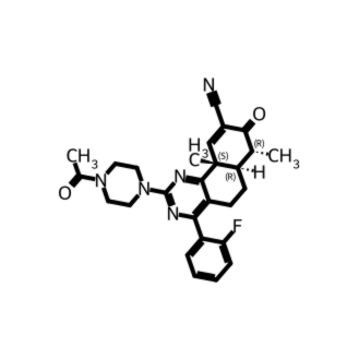 CC(=O)N1CCN(c2nc(-c3ccccc3F)c3c(n2)[C@]2(C)C=C(C#N)C(=O)[C@H](C)[C@H]2CC3)CC1